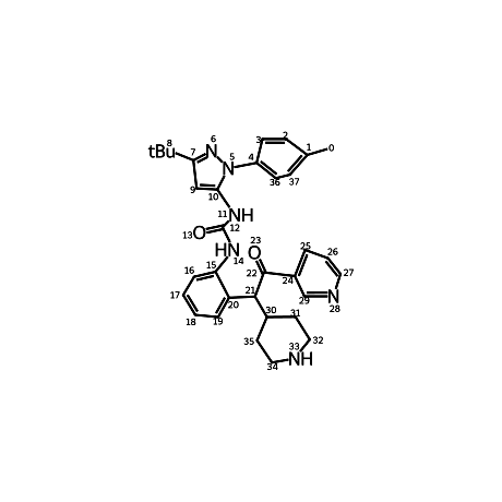 Cc1ccc(-n2nc(C(C)(C)C)cc2NC(=O)Nc2ccccc2C(C(=O)c2cccnc2)C2CCNCC2)cc1